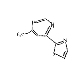 FC(F)(F)c1ccnc(-c2nccs2)c1